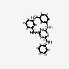 Sc1cccc(Nc2nc(Nc3ccccc3)nc(Nc3ccccc3)n2)c1